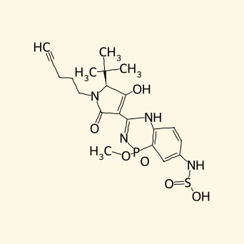 C#CCCCN1C(=O)C(C2=NP(=O)(OC)c3cc(NS(=O)O)ccc3N2)=C(O)[C@@H]1C(C)(C)C